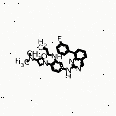 C=CC(=O)Nc1cc(Nc2ncc3cccc(-c4cccc(F)c4)c3n2)ccc1N1CC(N(C)C)C1